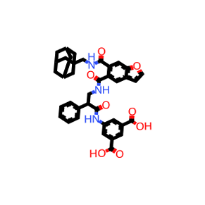 O=C(O)c1cc(NC(=O)C(CNC(=O)c2cc3ccoc3cc2C(=O)NCC23CC4CC(CC(C4)C2)C3)c2ccccc2)cc(C(=O)O)c1